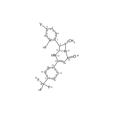 CC1C(c2ccc(F)cc2F)C2NC(c3ccc(C(F)(F)F)cc3)=CC(=O)N12